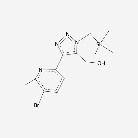 Cc1nc(-c2nnn(C[Si](C)(C)C)c2CO)ccc1Br